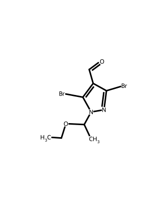 CCOC(C)n1nc(Br)c(C=O)c1Br